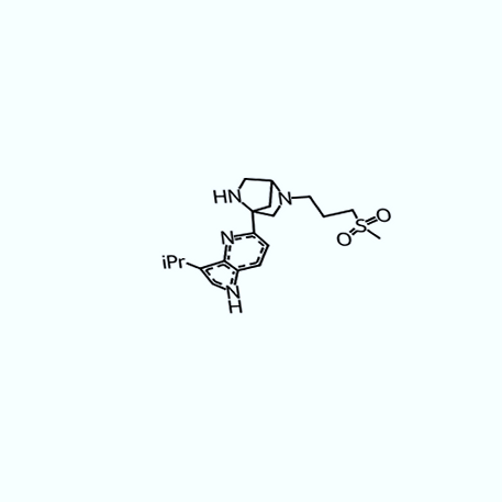 CC(C)c1c[nH]c2ccc(C34CC(CN3)N(CCCS(C)(=O)=O)C4)nc12